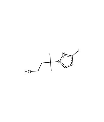 CC(C)(CCO)n1ccc(I)n1